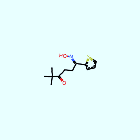 CC(C)(C)C(=O)CC/C(=N\O)c1cccs1